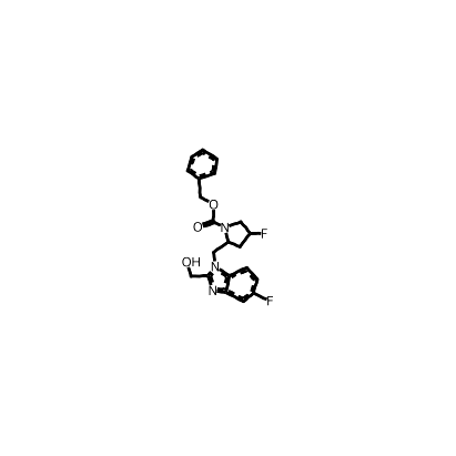 O=C(OCc1ccccc1)N1CC(F)CC1Cn1c(CO)nc2cc(F)ccc21